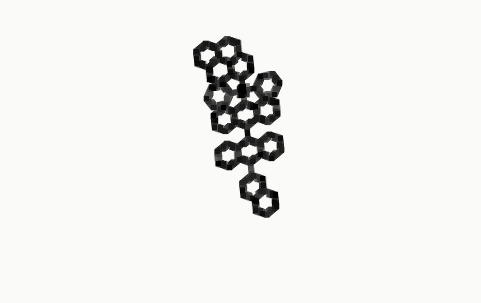 c1ccc([Si](c2ccccc2)(c2c3ccccc3c(-c3c4ccccc4c(-c4ccc5ccccc5c4)c4ccccc34)c3ccccc23)c2ccc3ccc4cccc5ccc2c3c45)cc1